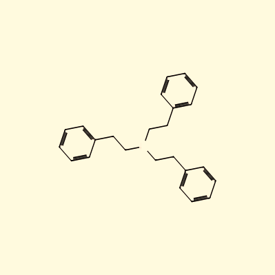 c1ccc(CCP(CCc2ccccc2)CCc2ccccc2)cc1